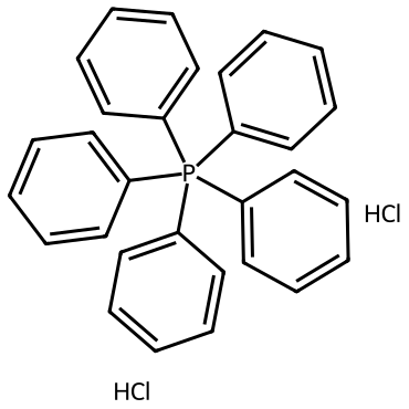 Cl.Cl.c1ccc(P(c2ccccc2)(c2ccccc2)(c2ccccc2)c2ccccc2)cc1